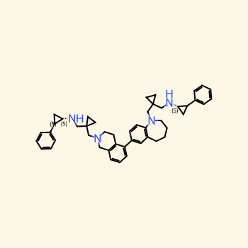 c1ccc(C2C[C@@H]2NCC2(CN3CCCCc4cc(-c5cccc6c5CCN(CC5(CN[C@H]7C[C@@H]7c7ccccc7)CC5)C6)ccc43)CC2)cc1